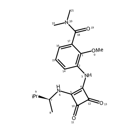 COc1c(Nc2c(N[C@@H](C)C(C)C)c(=O)c2=O)cccc1C(=O)N(C)C